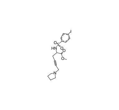 COC(=O)C(CC#CCN1CCCC1)NS(=O)(=O)c1ccc(I)cc1